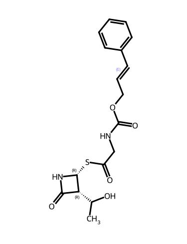 CC(O)[C@@H]1C(=O)N[C@@H]1SC(=O)CNC(=O)OC/C=C/c1ccccc1